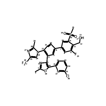 Cc1nc(-c2cc(-c3cc(F)c(CO)c(S(C)(=O)=O)c3)ccc2-n2cc(C(F)(F)F)nc2C)c(-c2cccc(Cl)n2)o1